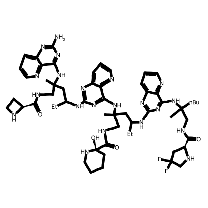 CCCCC(C)(CNC(=O)[C@@H]1CC(F)(F)CN1)Nc1nc(NC(CC)CC(C)(CNC(=O)[C@]2(O)CCCCN2)Nc2nc(NC(CC)CC(C)(CNC(=O)[C@@H]3CCN3)Nc3nc(N)nc4cccnc34)nc3cccnc23)nc2cccnc12